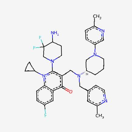 Cc1ccc(N2CCC[C@H](N(Cc3ccnc(C)c3)Cc3c(N4CCC(N)C(F)(F)C4)n(C4CC4)c4ccc(F)cc4c3=O)C2)cn1